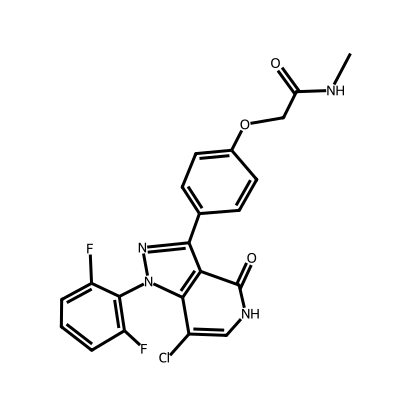 CNC(=O)COc1ccc(-c2nn(-c3c(F)cccc3F)c3c(Cl)c[nH]c(=O)c23)cc1